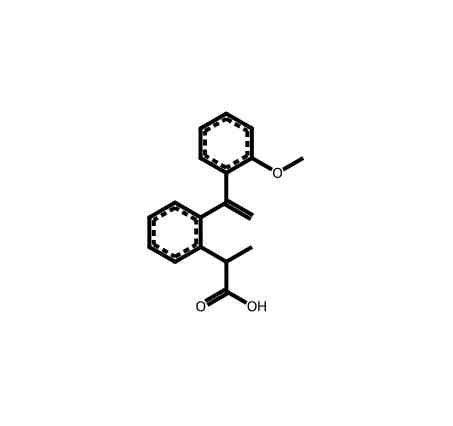 C=C(c1ccccc1OC)c1ccccc1C(C)C(=O)O